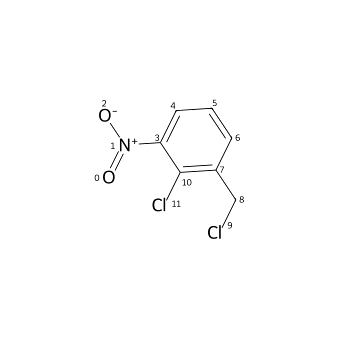 O=[N+]([O-])c1cccc(CCl)c1Cl